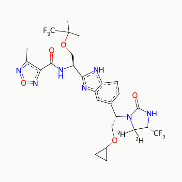 [2H]C1([2H])[C@@H](C(F)(F)F)NC(=O)N1[C@H](COC1CC1)c1ccc2[nH]c([C@H](COC(C)(C)C(F)(F)F)NC(=O)c3nonc3C)nc2c1